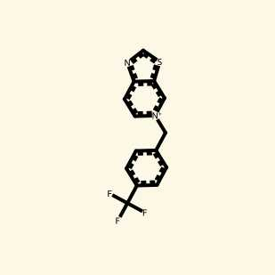 FC(F)(F)c1ccc(C[n+]2ccc3ncsc3c2)cc1